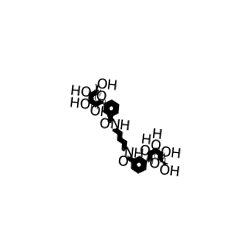 O=C(NCCCCCNC(=O)c1cccc([C@H]2O[C@H](CO)[C@@H](O)[C@H](O)[C@@H]2O)c1)c1cccc([C@H]2O[C@H](CO)[C@@H](O)[C@H](O)[C@H]2O)c1